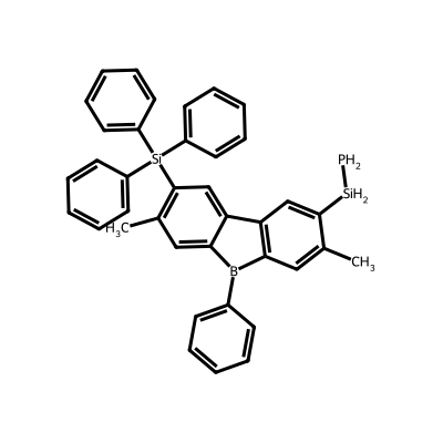 Cc1cc2c(cc1[SiH2]P)-c1cc([Si](c3ccccc3)(c3ccccc3)c3ccccc3)c(C)cc1B2c1ccccc1